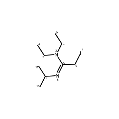 CCN(CC)/C(CI)=N\C(C)C